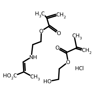 C=C(C)C(=O)OCCNC=C(C)C(=O)O.C=C(C)C(=O)OCCO.Cl